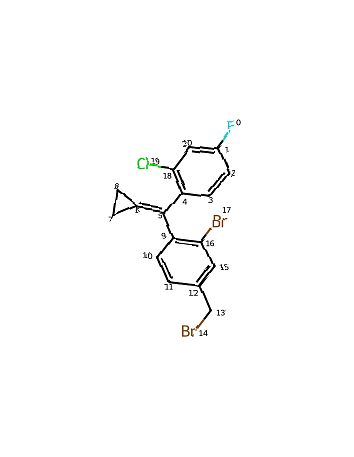 Fc1ccc(C(=C2CC2)c2ccc(CBr)cc2Br)c(Cl)c1